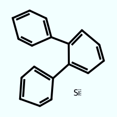 [Si].c1ccc(-c2ccccc2-c2ccccc2)cc1